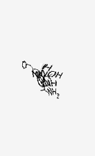 CC(C)C(=O)[C@H](CN)NC(=O)[C@@H](NC(=O)CC(CN)Cc1ccccc1)C(C)O